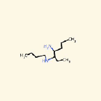 CCCCNC(CC)C(N)CCC